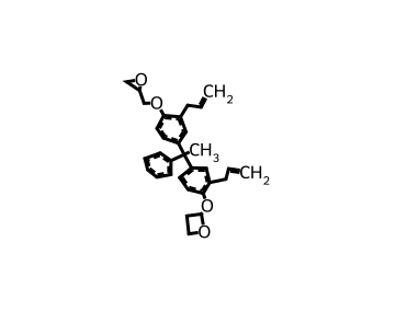 C=CCc1cc(C(C)(c2ccccc2)c2ccc(OC3CCO3)c(CC=C)c2)ccc1OCC1CO1